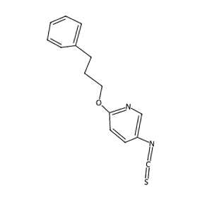 S=C=Nc1ccc(OCCCc2ccccc2)nc1